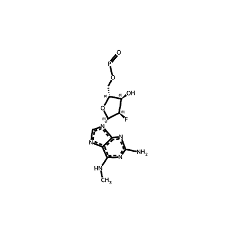 CNc1nc(N)nc2c1ncn2[C@@H]1O[C@H](COP=O)[C@@H](O)[C@H]1F